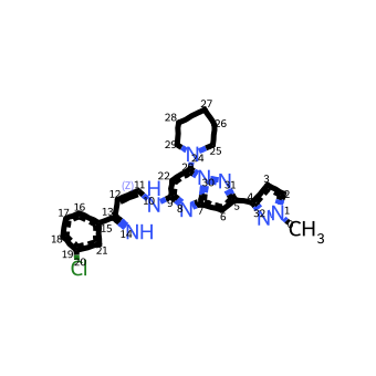 Cn1ccc(-c2cc3nc(N/C=C\C(=N)c4cccc(Cl)c4)cc(N4CCCCC4)n3n2)n1